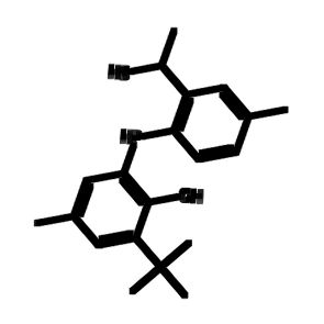 Cc1ccc(Pc2cc(C)cc(C(C)(C)C)c2O)c(C(C)S)c1